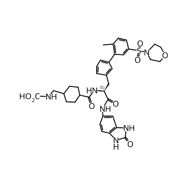 Cc1ccc(S(=O)(=O)N2CCOCC2)cc1-c1cccc(C[C@H](NC(=O)C2CCC(CNC(=O)O)CC2)C(=O)Nc2ccc3[nH]c(=O)[nH]c3c2)c1